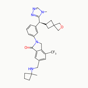 Cn1cnnc1[C@H](c1cccc(N2Cc3c(cc(CNC4(C)CCC4)cc3C(F)(F)F)C2=O)c1)C1CC2(COC2)C1